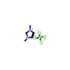 CN1C=CN(C)C1.[Cl][Fe]([Cl])([Cl])[Cl]